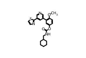 COc1ccc(OC(=O)NCC2CCCCC2)cc1-c1cncc(-c2nccs2)c1